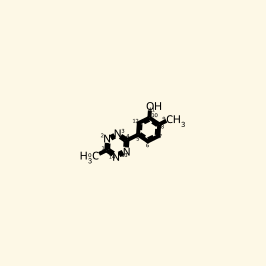 Cc1nnc(-c2ccc(C)c(O)c2)nn1